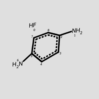 F.Nc1ccc(N)cc1